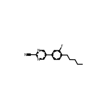 CCCCCc1ccc(-c2cnc(C#N)nc2)cc1F